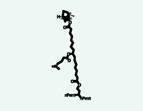 CCCCCC(CCCCC)CCOC(=O)CCCCCCCC(CCCCCCCC(=O)O[C@H]1C[C@H]2CC[C@]1(C)C2(C)C)OC(=O)CCCN(C)C